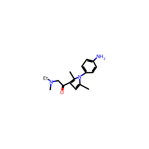 CCN(C)CC(=O)c1cc(C)n(-c2ccc(N)cc2)c1C